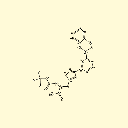 CC(C)(C)OC(=O)N[C@@H](Cc1nc(-c2cccc([C@@H]3COc4cccnc4O3)c2)no1)C(=O)O